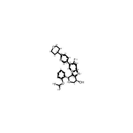 O[C@H]1CO[C@@H](c2ccccc2OC(F)F)c2c1nc1cc(F)c(-c3ccc(C4CCOCC4)nc3)cn21